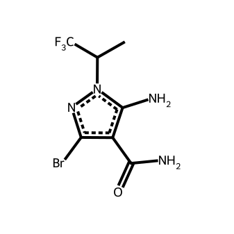 CC(n1nc(Br)c(C(N)=O)c1N)C(F)(F)F